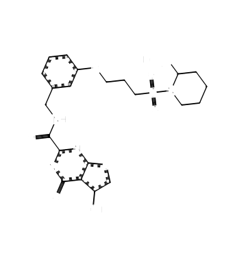 CCOC(=O)C1CCCCN1S(=O)(=O)CCCOc1cccc(CNC(=O)c2nc3scc(C)c3c(=O)[nH]2)c1